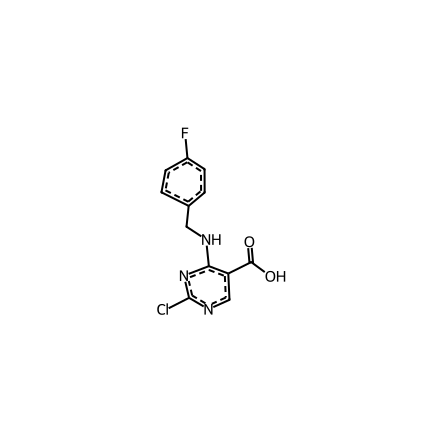 O=C(O)c1cnc(Cl)nc1NCc1ccc(F)cc1